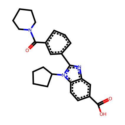 O=C(O)c1ccc2c(c1)nc(-c1cccc(C(=O)N3CCCCC3)c1)n2C1CCCC1